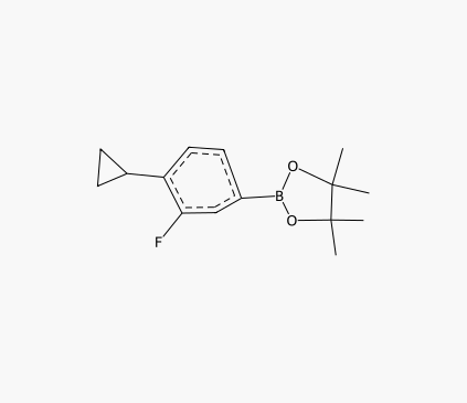 CC1(C)OB(c2ccc(C3CC3)c(F)c2)OC1(C)C